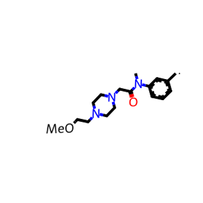 [CH2]c1cccc(N(C)C(=O)CN2CCN(CCOC)CC2)c1